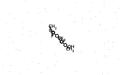 C=CCOc1ccc(C2CCC(OCc3ccc(C4CCC(C(C)O)CC4)c(F)c3F)CC2)c(F)c1